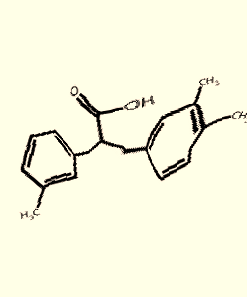 Cc1cccc(C(Cc2ccc(C)c(C)c2)C(=O)O)c1